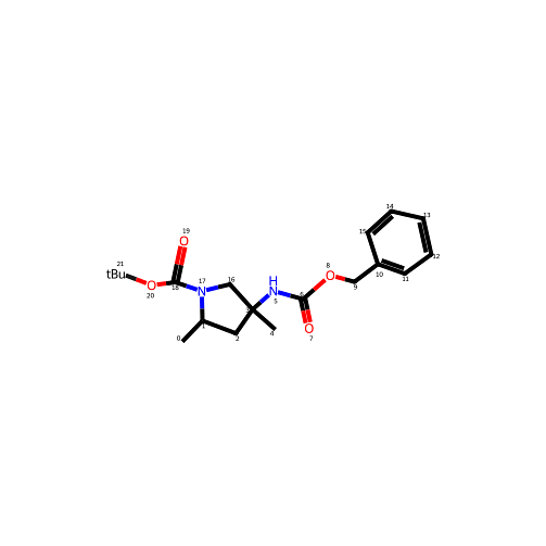 CC1CC(C)(NC(=O)OCc2ccccc2)CN1C(=O)OC(C)(C)C